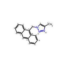 Cc1cn(Cc2c3ccccc3cc3ccccc23)nn1